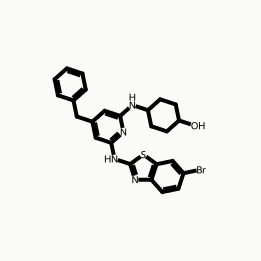 OC1CCC(Nc2cc(Cc3ccccc3)cc(Nc3nc4ccc(Br)cc4s3)n2)CC1